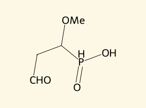 COC(CC=O)[PH](=O)O